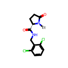 CCN1C(=O)CC[C@H]1C(=O)NCc1c(Cl)cccc1Cl